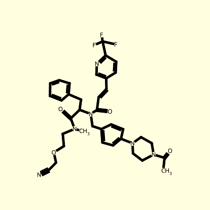 CC(=O)N1CCN(c2ccc(CN(C(=O)C=Cc3ccc(C(F)(F)F)nc3)C(Cc3ccccc3)C(=O)N(C)CCOCC#N)cc2)CC1